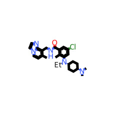 CCN(c1cc(Cl)cc(C(=O)NCc2c(C)ccn3ccnc23)c1C)[C@H]1CC[C@H](N(C)C)CC1